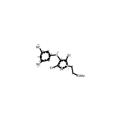 CCc1nn(CCOC)c(CC)c1Oc1cc(C#N)cc(C#N)c1